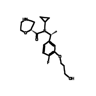 C[C@H](c1ccc(F)c(OCCCO)c1)N(C(=O)[C@H]1CNCCO1)C1CC1